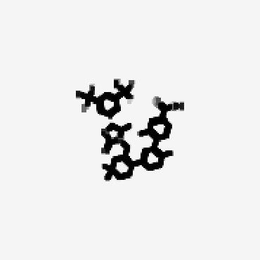 Cc1cc(C(=O)O)ccc1-c1cc(C2=C(CN3C(=O)O[C@H](c4cc(C(F)(F)F)cc(C(F)(F)F)c4)C3C)CC(C)(C)CC2)ccc1C